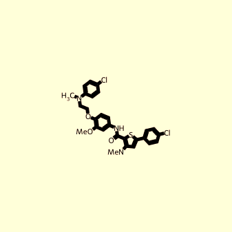 CNc1cc(-c2ccc(Cl)cc2)sc1C(=O)Nc1ccc(OCCN(C)c2ccc(Cl)cc2)c(OC)c1